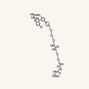 COCCNC(=O)CN(C)CC(=O)NCCOCCOCCNC(=O)NCCOCCOCCOCCN1CCN(c2cccc(-c3nc(NC(=N)N)nc4ccc(Cl)cc34)c2)CC1